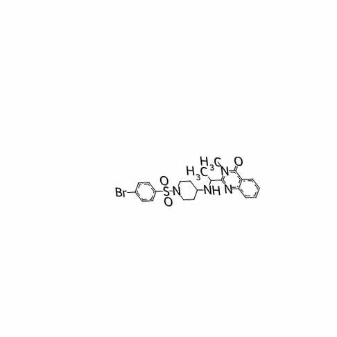 CC(NC1CCN(S(=O)(=O)c2ccc(Br)cc2)CC1)c1nc2ccccc2c(=O)n1C